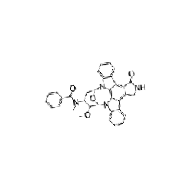 COC1C(N(C)C(=O)c2ccccc2)CC2OC1n1c3ccccc3c3c4c(c5c6ccccc6n2c5c31)C(=O)NC4